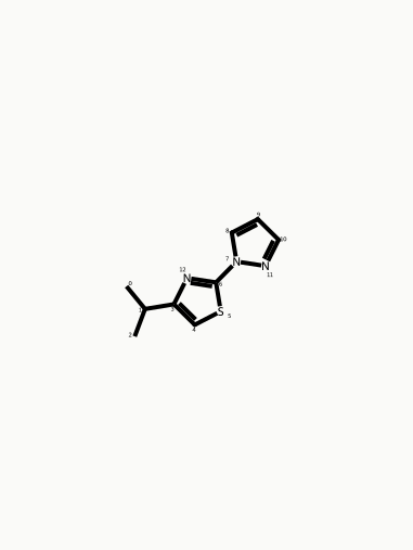 CC(C)c1csc(-n2cccn2)n1